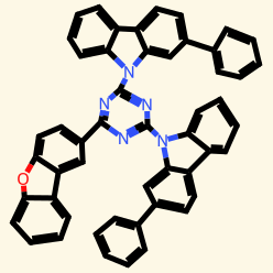 c1ccc(-c2ccc3c4ccccc4n(-c4nc(-c5ccc6oc7ccccc7c6c5)nc(-n5c6ccccc6c6ccc(-c7ccccc7)cc65)n4)c3c2)cc1